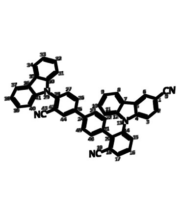 N#Cc1ccc2c(c1)c1ccccc1n2-c1cccc(C#N)c1-c1ccc(-c2ccc(-n3c4ccccc4c4ccccc43)c(C#N)c2)cc1